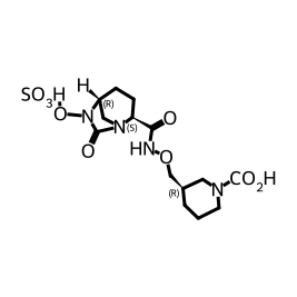 O=C(NOC[C@@H]1CCCN(C(=O)O)C1)[C@@H]1CC[C@@H]2CN1C(=O)N2OS(=O)(=O)O